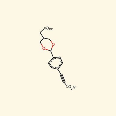 CCCCCCCCCCCC1COC(c2ccc(C#CC(=O)O)cc2)OC1